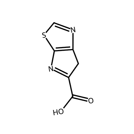 O=C(O)C1=Nc2scnc2C1